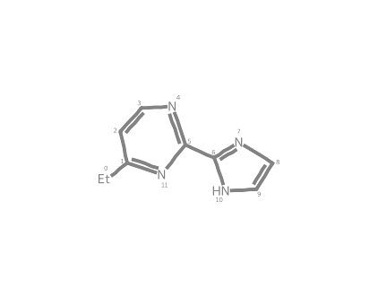 CCc1ccnc(-c2ncc[nH]2)n1